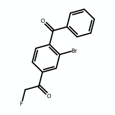 O=C(CF)c1ccc(C(=O)c2ccccc2)c(Br)c1